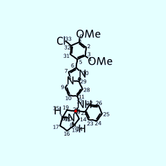 COc1cc(OC)c(-c2cn3ccc(N[C@H]4C[C@H]5CC[C@@H](C4)N5Cc4ccccc4)cc3n2)cc1Cl